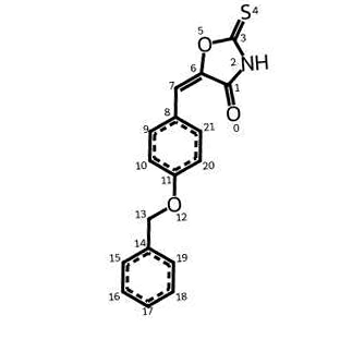 O=C1NC(=S)OC1=Cc1ccc(OCc2ccccc2)cc1